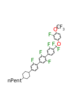 CCCCCC1CCC(c2ccc(-c3cc(F)c(-c4ccc(C(F)(F)Oc5ccc(OC(F)(F)F)c(F)c5)c(F)c4)c(F)c3)c(F)c2)CC1